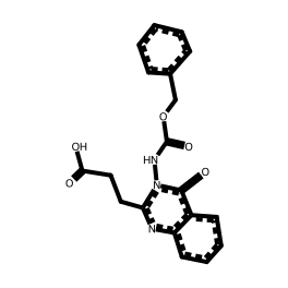 O=C(O)CCc1nc2ccccc2c(=O)n1NC(=O)OCc1ccccc1